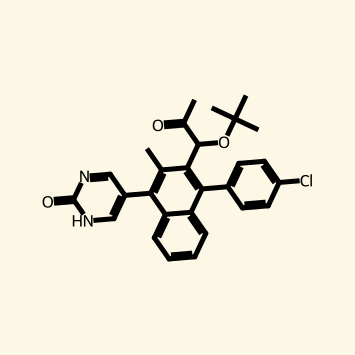 CC(=O)C(OC(C)(C)C)c1c(C)c(-c2cnc(=O)[nH]c2)c2ccccc2c1-c1ccc(Cl)cc1